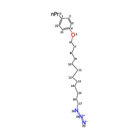 CCCc1ccc(OCCCCCCCCCCCCN=[N+]=[N-])cc1